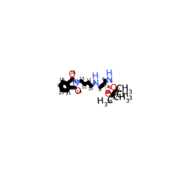 CC1(C)OB(/C(C=N)=C/NCCCCN2C(=O)c3ccccc3C2=O)OC1(C)C